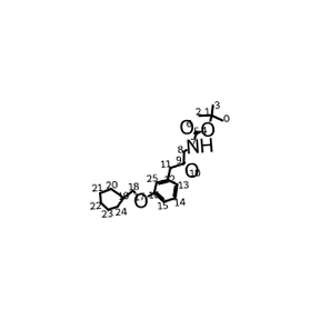 CC(C)(C)OC(=O)NCC(=O)Cc1cccc(OCC2CCCCC2)c1